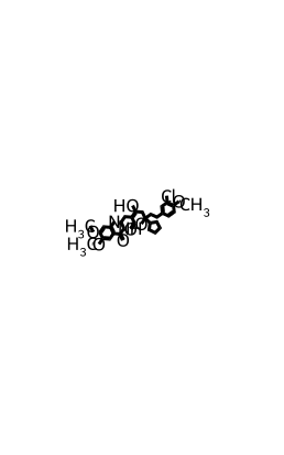 COc1ccc(CCC2(C3CCCC3)CC(O)=C(Cc3nc4cc(OC)c(OC)cc4c(=O)[nH]3)C(=O)O2)cc1Cl